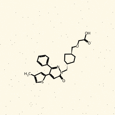 Cc1csc(-c2cc(=O)n(C[C@H]3CC[C@H](COCC(=O)O)CC3)nc2-c2ccccc2)c1